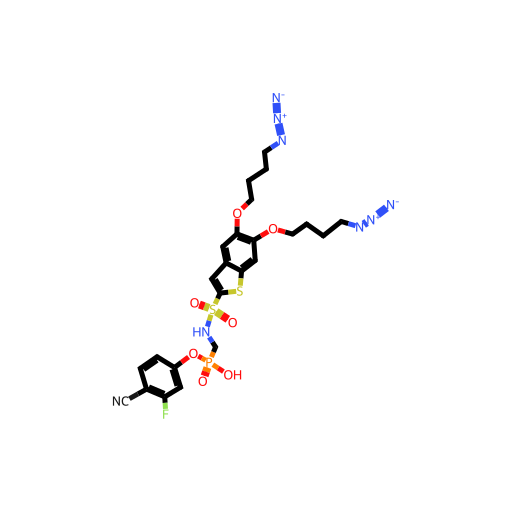 N#Cc1ccc(OP(=O)(O)CNS(=O)(=O)c2cc3cc(OCCCCN=[N+]=[N-])c(OCCCCN=[N+]=[N-])cc3s2)cc1F